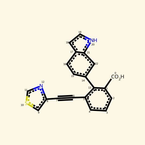 O=C(O)c1cccc(C#Cc2cscn2)c1-c1ccc2cc[nH]c2c1